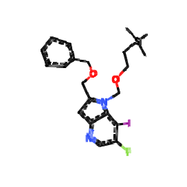 C[Si](C)(C)CCOCn1c(COCc2ccccc2)cc2ncc(F)c(I)c21